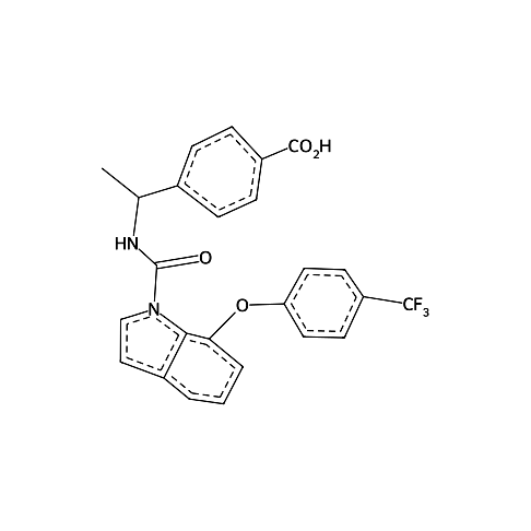 CC(NC(=O)n1ccc2cccc(Oc3ccc(C(F)(F)F)cc3)c21)c1ccc(C(=O)O)cc1